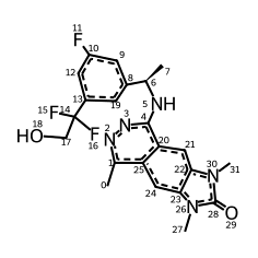 Cc1nnc(N[C@H](C)c2cc(F)cc(C(F)(F)CO)c2)c2cc3c(cc12)n(C)c(=O)n3C